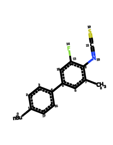 CCCCc1ccc(-c2cc(C)c(N=C=S)c(F)c2)cc1